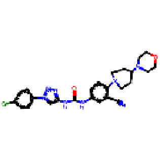 N#Cc1cc(NC(=O)Nc2cn(-c3ccc(Cl)cc3)nn2)ccc1N1CCC(N2CCOCC2)CC1